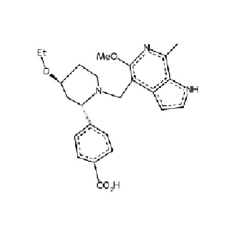 CCO[C@H]1CCN(Cc2c(OC)nc(C)c3[nH]ccc23)[C@H](c2ccc(C(=O)O)cc2)C1